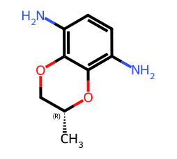 C[C@@H]1COc2c(N)ccc(N)c2O1